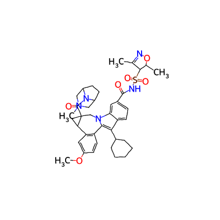 COc1ccc2c(c1)C1CC1(C(=O)N1C3CCC1CN(C)C3)Cn1c-2c(C2CCCCC2)c2ccc(C(=O)NS(=O)(=O)C3C(C)=NOC3C)cc21